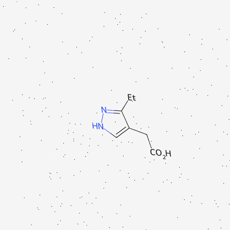 CCc1n[nH]cc1CC(=O)O